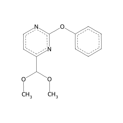 COC(OC)c1ccnc(Oc2ccccc2)n1